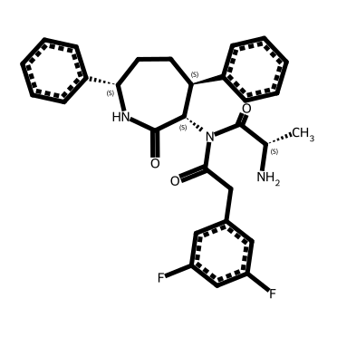 C[C@H](N)C(=O)N(C(=O)Cc1cc(F)cc(F)c1)[C@@H]1C(=O)N[C@H](c2ccccc2)CC[C@H]1c1ccccc1